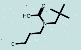 CC(C)(C)CN(CCCCl)C(=O)O